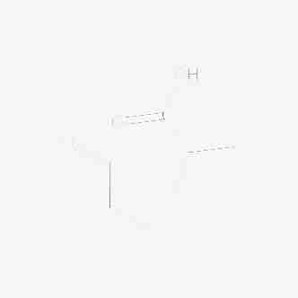 CC(C)C(=O)O.CCC=O